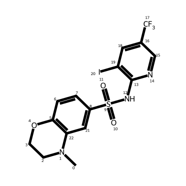 CN1CCOc2ccc(S(=O)(=O)Nc3ncc(C(F)(F)F)cc3I)cc21